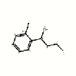 OC(CCCl)c1ccccc1F